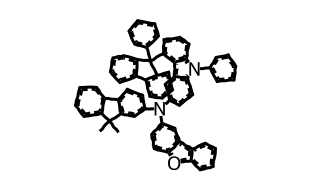 CC1(C)c2ccccc2-c2ccc(N(c3ccc4oc5ccccc5c4c3)c3ccc4c(c3)c3c(C5(c6ccccc6)c6ccccc6-c6ccccc65)cccc3n4-c3ccccc3)cc21